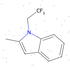 Cc1cc2ccccc2n1CC(F)(F)F